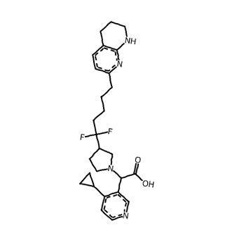 O=C(O)C(c1cnccc1C1CC1)N1CCC(C(F)(F)CCCCc2ccc3c(n2)NCCC3)C1